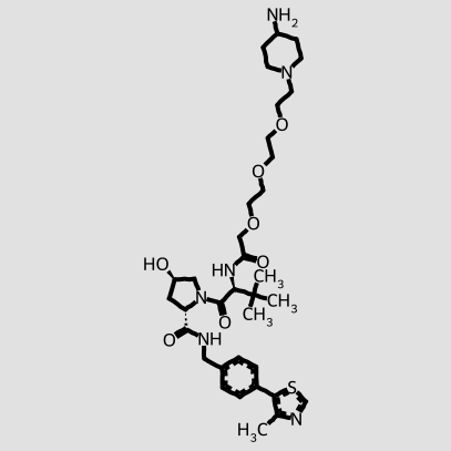 Cc1ncsc1-c1ccc(CNC(=O)[C@@H]2C[C@@H](O)CN2C(=O)[C@@H](NC(=O)COCCOCCOCCN2CCC(N)CC2)C(C)(C)C)cc1